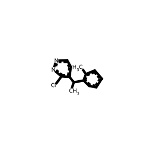 Cc1ccccc1C(C)c1ccnnc1Cl